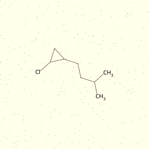 CC(C)CC[C]1CC1Cl